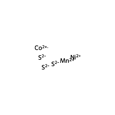 [Co+2].[Mn+2].[Ni+2].[S-2].[S-2].[S-2]